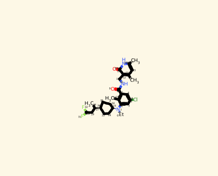 CCN(c1cc(Cl)cc(C(=O)NCc2c(C)cc(C)[nH]c2=O)c1C)[C@H]1CC[C@H](C(C)CC(F)F)CC1